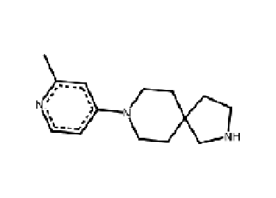 Cc1cc(N2CCC3(CCNC3)CC2)ccn1